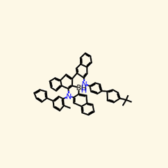 Cc1ccc(-c2ccccc2)cc1N1c2cc3ccccc3cc2Bc2c(-c3cc4ccccc4cc3Nc3ccc(-c4ccc(C(C)(C)C)cc4)cc3)cc3ccccc3c21